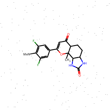 CNc1c(F)cc(C2=CC(=O)C3CCC4NC(=O)NC4C3(C)O2)cc1F